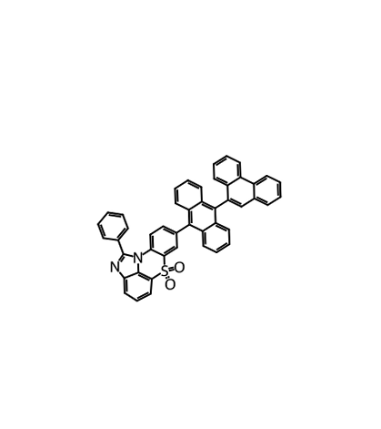 O=S1(=O)c2cc(-c3c4ccccc4c(-c4cc5ccccc5c5ccccc45)c4ccccc34)ccc2-n2c(-c3ccccc3)nc3cccc1c32